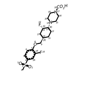 CS(=O)(=O)c1ccc(OC[C@@H]2CC[C@@H](N3CCN(C(=O)O)CC3)[C@@H](F)C2)c(F)c1